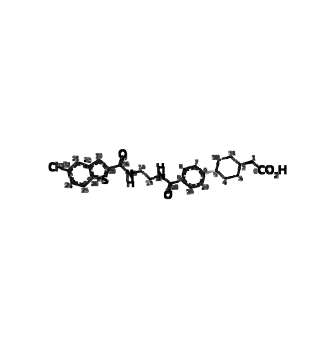 O=C(O)C[C@H]1CC[C@H](c2ccc(C(=O)NCCNC(=O)c3cc4cc(Cl)ccc4s3)cc2)CC1